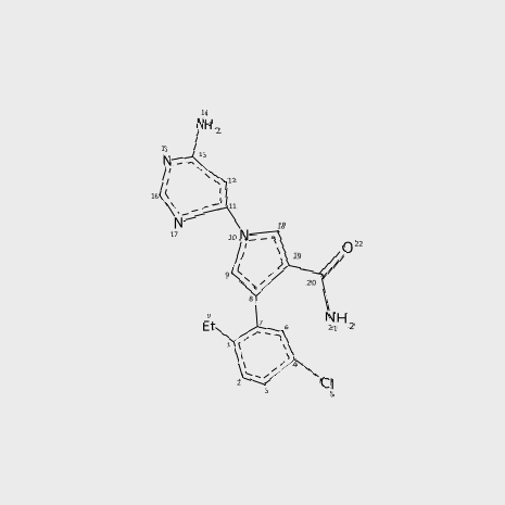 CCc1ccc(Cl)cc1-c1cn(-c2cc(N)ncn2)cc1C(N)=O